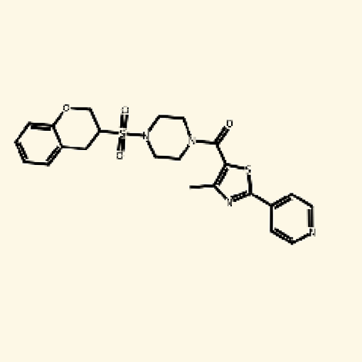 Cc1nc(-c2ccncc2)sc1C(=O)N1CCN(S(=O)(=O)C2COc3ccccc3C2)CC1